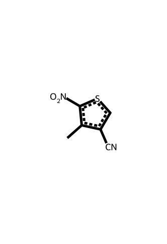 Cc1c(C#N)csc1[N+](=O)[O-]